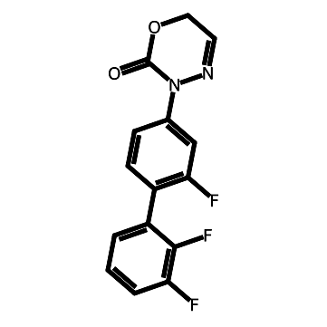 O=C1OCC=NN1c1ccc(-c2cccc(F)c2F)c(F)c1